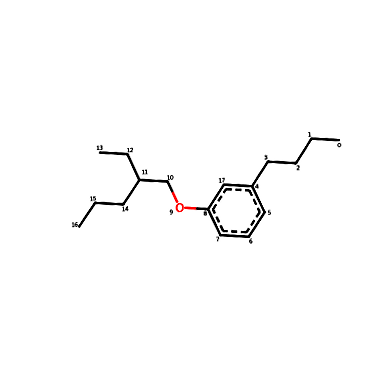 CCCCc1cccc(OCC(CC)CCC)c1